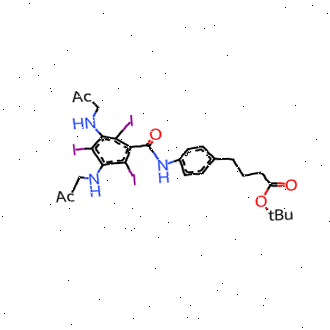 CC(=O)CNc1c(I)c(NCC(C)=O)c(I)c(C(=O)Nc2ccc(CCCC(=O)OC(C)(C)C)cc2)c1I